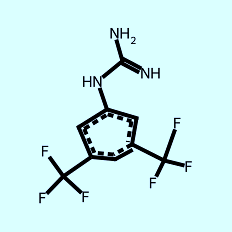 N=C(N)Nc1cc(C(F)(F)F)cc(C(F)(F)F)c1